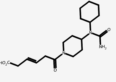 NC(=O)N(C1CCCCC1)C1CCN(C(=O)C/C=C/CC(=O)O)CC1